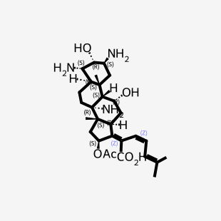 CC(=O)O[C@H]1C[C@@]2(C)[C@@H](C[C@@H](O)[C@H]3[C@@]4(C)C[C@H](N)[C@@H](O)[C@@H](N)[C@@H]4CC[C@@]32N)/C1=C(\C=C/C=C(C)C)C(=O)O